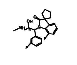 CNC[C@@H](O)C(c1cccc(F)c1)N1C(=O)C2(CCCC2)c2cccc(F)c21